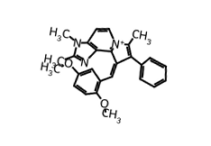 COc1ccc(OC)c(C=C2C(c3ccccc3)=C(C)[n+]3ccc4c(nc(C)n4C)c32)c1